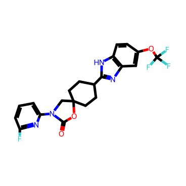 O=C1OC2(CCC(c3nc4cc(OC(F)(F)F)ccc4[nH]3)CC2)CN1c1cccc(F)n1